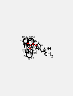 C=C(O)CN1CC[C@H](c2nc3ccccc3n2[C@H]2C[C@H]3CCC[C@@H](C2)N3[C@@H]2C[C@@H]3CCCC[C@@H](C3)C2)C1